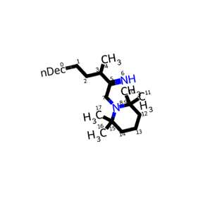 CCCCCCCCCCCCC(C)C(=N)CN1C(C)(C)CCCC1(C)C